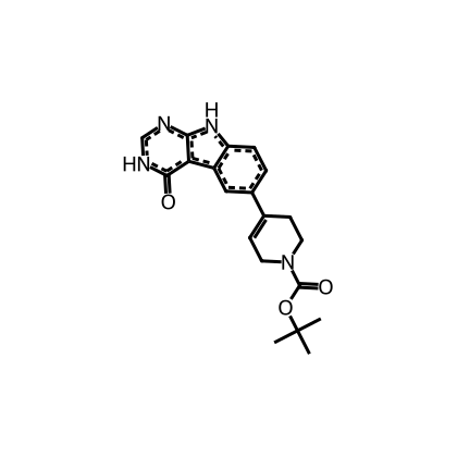 CC(C)(C)OC(=O)N1CC=C(c2ccc3[nH]c4nc[nH]c(=O)c4c3c2)CC1